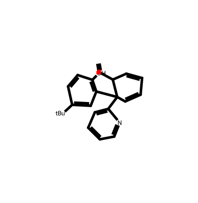 C=CC1C=CC=CC1(c1ccccn1)c1cc(C(C)(C)C)ccc1O